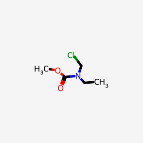 CCN(CCl)C(=O)OC